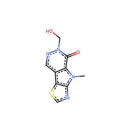 Cn1c2ncsc2c2cnn(CO)c(=O)c21